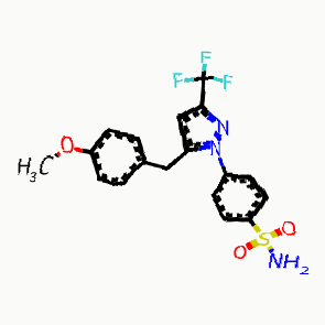 COc1ccc(Cc2cc(C(F)(F)F)nn2-c2ccc(S(N)(=O)=O)cc2)cc1